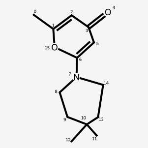 Cc1cc(=O)cc(N2CCC(C)(C)CC2)o1